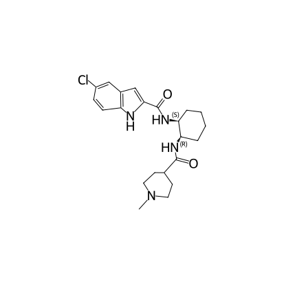 CN1CCC(C(=O)N[C@@H]2CCCC[C@@H]2NC(=O)c2cc3cc(Cl)ccc3[nH]2)CC1